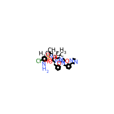 CC(C)CN(C[C@H](O)[C@H](Cc1ccccc1)NC(=O)[C@H](C(C)C)N1CC(=O)N(Cc2cccc(-c3cnccn3)c2)C1=O)S(=O)(=O)c1ccc(Cl)c(N)c1